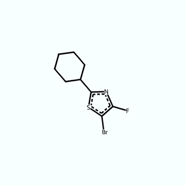 Fc1nc(C2CCCCC2)sc1Br